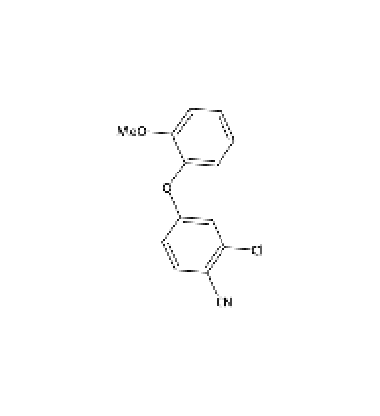 COc1ccccc1Oc1ccc(C#N)c(Cl)c1